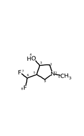 CN1CC(O)C(C(F)F)C1